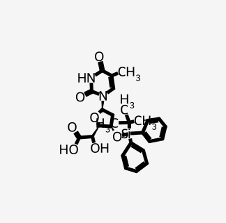 Cc1cn([C@H]2C[C@H](O[Si](c3ccccc3)(c3ccccc3)C(C)(C)C)[C@@H](C(O)C(=O)O)O2)c(=O)[nH]c1=O